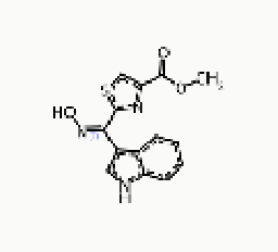 COC(=O)c1csc(/C(=N\O)c2c[nH]c3ccccc23)n1